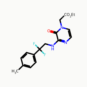 CCOC(=O)Cn1ccnc(NCC(F)(F)c2ccc(C)cc2)c1=O